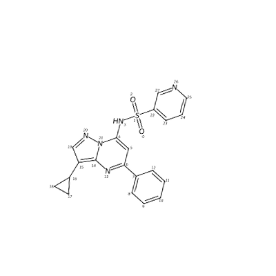 O=S(=O)(Nc1cc(-c2ccccc2)nc2c(C3CC3)cnn12)c1cccnc1